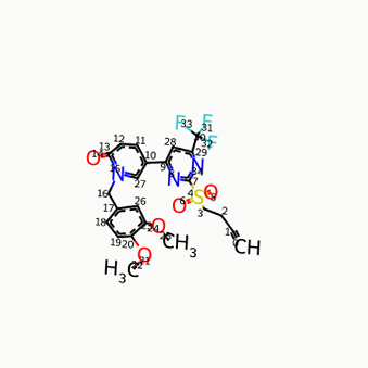 C#CCCS(=O)(=O)c1nc(-c2ccc(=O)n(Cc3ccc(OC)c(OC)c3)c2)cc(C(F)(F)F)n1